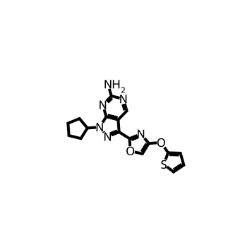 Nc1ncc2c(-c3nc(Oc4cccs4)co3)nn(C3CCCC3)c2n1